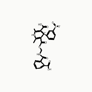 CC1=C(C(=O)O)[C@@H](c2cccc([N+](=O)[O-])c2)C(C(=O)OCNC(=O)c2ccccc2C(=O)O)=C(C)N1